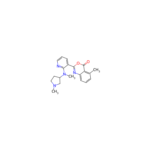 Cc1cccc2nc(-c3cccnc3N(C)C3CCN(C)C3)oc(=O)c12